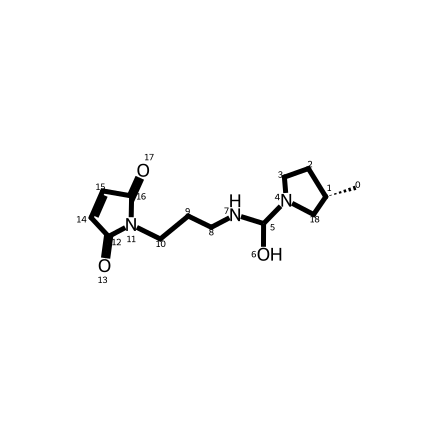 C[C@H]1CCN(C(O)NCCCN2C(=O)C=CC2=O)C1